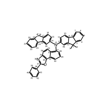 CC1(C)c2ccccc2-c2ccc(N(c3ccc4sc5ccccc5c4c3)c3cccc4c3ccc3nc(-c5ccccc5)oc34)cc21